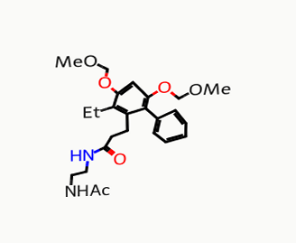 CCc1c(OCOC)cc(OCOC)c(-c2ccccc2)c1CCC(=O)NCCNC(C)=O